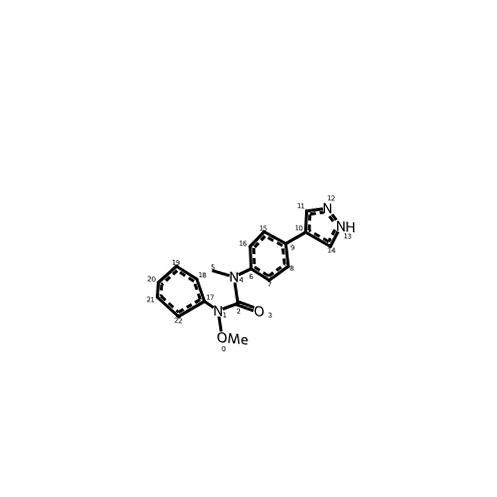 CON(C(=O)N(C)c1ccc(-c2cn[nH]c2)cc1)c1ccccc1